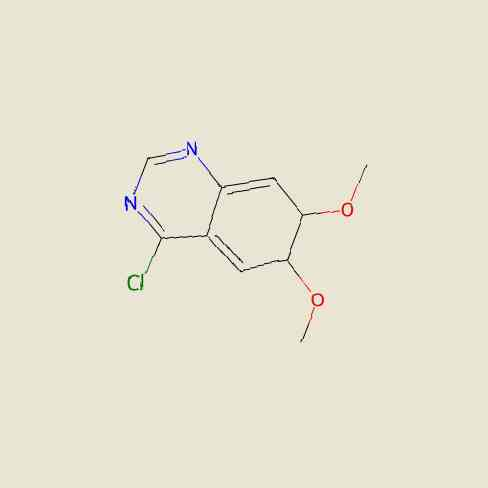 COC1C=c2ncnc(Cl)c2=CC1OC